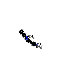 CC[n+]1c(-c2ccc(-c3ccccc3)cc2)cn2ccc(/C=C/c3ccc(N(C)C)cc3)cc21